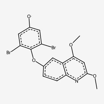 COc1cc(OC)c2cc(Oc3c(Br)cc([O])cc3Br)ccc2n1